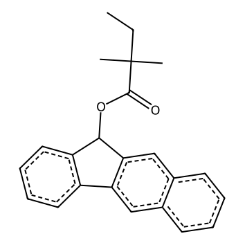 CCC(C)(C)C(=O)OC1c2ccccc2-c2cc3ccccc3cc21